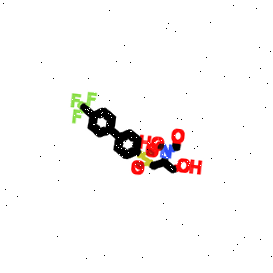 O=CN(O)C(CO)CS(=O)(=O)c1ccc(-c2ccc(C(F)(F)F)cc2)cc1